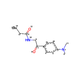 CN(C)c1ccc(C(=O)CNC(=O)CC(C)(C)C)cc1